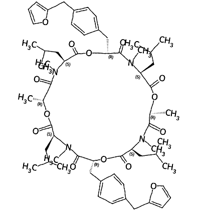 CC(C)C[C@H]1C(=O)O[C@H](Cc2ccc(Cc3ccco3)cc2)C(=O)N(C)[C@@H](CC(C)C)C(=O)O[C@H](C)C(=O)N(C)[C@@H](CC(C)C)C(=O)O[C@H](Cc2ccc(Cc3ccco3)cc2)C(=O)N(C)[C@@H](CC(C)C)C(=O)O[C@H](C)C(=O)N1C